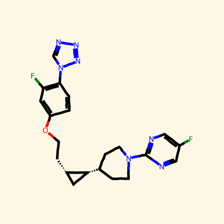 Fc1cnc(N2CCC([C@@H]3C[C@@H]3CCOc3ccc(-n4cnnn4)c(F)c3)CC2)nc1